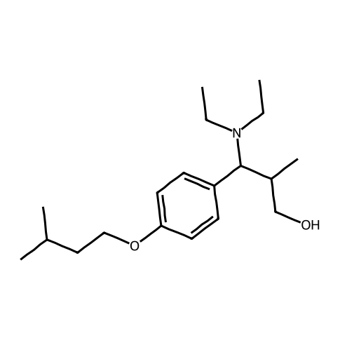 CCN(CC)C(c1ccc(OCCC(C)C)cc1)C(C)CO